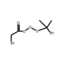 CC(C)CC(=O)OOOC(C)(C)C(C)C